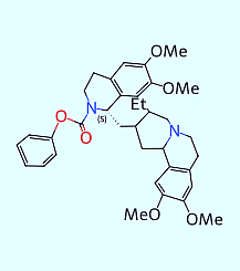 CCC1CN2CCc3cc(OC)c(OC)cc3C2CC1C[C@H]1c2cc(OC)c(OC)cc2CCN1C(=O)Oc1ccccc1